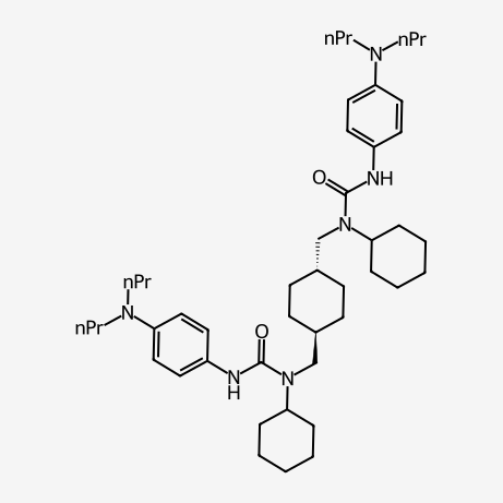 CCCN(CCC)c1ccc(NC(=O)N(C[C@H]2CC[C@H](CN(C(=O)Nc3ccc(N(CCC)CCC)cc3)C3CCCCC3)CC2)C2CCCCC2)cc1